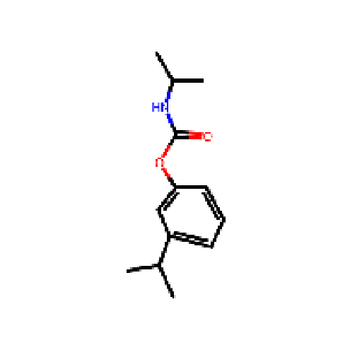 CC(C)NC(=O)Oc1cccc(C(C)C)c1